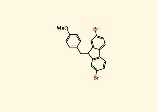 COc1ccc(CC2c3cc(Br)ccc3-c3ccc(Br)cc32)cc1